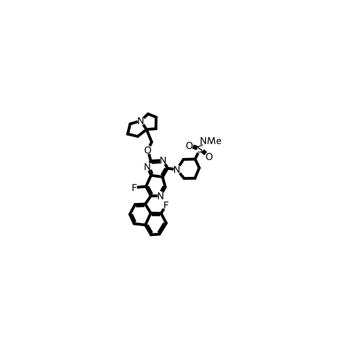 CNS(=O)(=O)C1CCCN(c2nc(OCC34CCCN3CCC4)nc3c(F)c(-c4cccc5cccc(F)c45)ncc23)C1